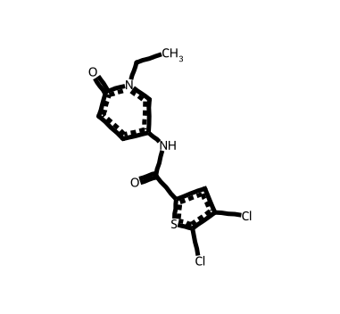 CCn1cc(NC(=O)c2cc(Cl)c(Cl)s2)ccc1=O